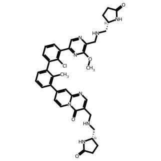 COc1nc(-c2cccc(-c3cccc(-c4ccn5c(=O)c(CNC[C@@H]6CCC(=O)N6)cnc5c4)c3C)c2Cl)cnc1CNC[C@@H]1CCC(=O)N1